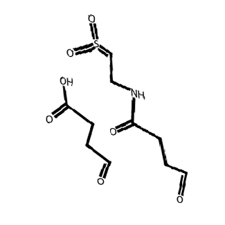 O=CCCC(=O)NCC=S(=O)=O.O=CCCC(=O)O